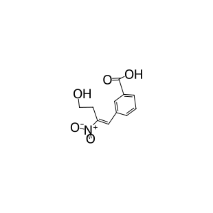 O=C(O)c1cccc(/C=C(\CCO)[N+](=O)[O-])c1